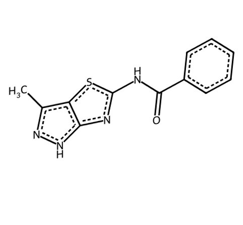 Cc1n[nH]c2nc(NC(=O)c3ccccc3)sc12